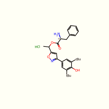 CC(OC(=O)[C@@H](N)Cc1ccccc1)c1cc(-c2cc(C(C)(C)C)c(O)c(C(C)(C)C)c2)no1.Cl